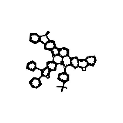 C=C1c2ccccc2-c2cc3c(cc21)c1ccc2c4c1n3-c1cc3c(-c5ccccc5)c(-c5ccccc5)oc3cc1B4N(c1ccc(C(C)(C)C)cc1)c1cc3oc4ccccc4c3cc1-2